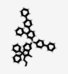 CCCC1=C(C)c2cc(N(c3ccc(-c4ccccc4)cc3)c3ccc(-c4ccc(-c5ccccc5)cc4)c(-c4ccccc4)c3)ccc2C1(c1ccccc1)c1ccccc1